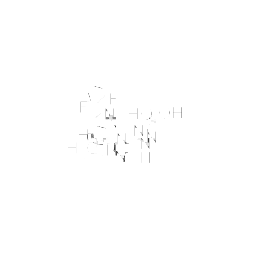 CC1(C)[C@H]2CC[C@]1(c1cncc(-c3nc([C@@H](O)CO)n[nH]3)n1)c1nnc(-c3c(F)cccc3F)cc12